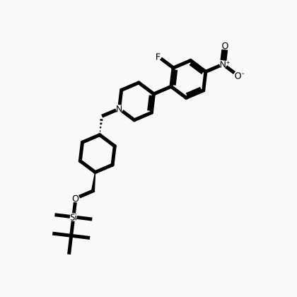 CC(C)(C)[Si](C)(C)OC[C@H]1CC[C@H](CN2CC=C(c3ccc([N+](=O)[O-])cc3F)CC2)CC1